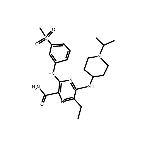 CCc1nc(C(N)=O)c(Nc2cccc(S(C)(=O)=O)c2)nc1NC1CCN(C(C)C)CC1